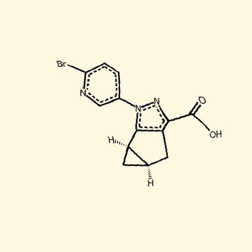 O=C(O)c1nn(-c2ccc(Br)nc2)c2c1C[C@H]1C[C@@H]21